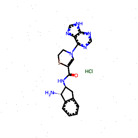 Cl.N[C@H]1c2ccccc2C[C@@H]1NC(=O)C1=CN(c2ncnc3[nH]cnc23)CCS1